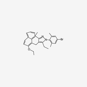 CCOc1ccc2ccccc2c1Cc1c(CC)nn(-c2c(C)cc(Br)cc2C)c1CC